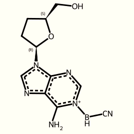 N#CB[n+]1cnc2c(ncn2[C@H]2CC[C@@H](CO)O2)c1N